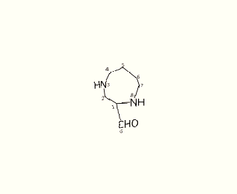 O=CC1CNCCCCN1